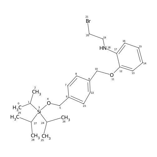 CC(C)[Si](OCc1ccc(COc2ccccc2NCCBr)cc1)(C(C)C)C(C)C